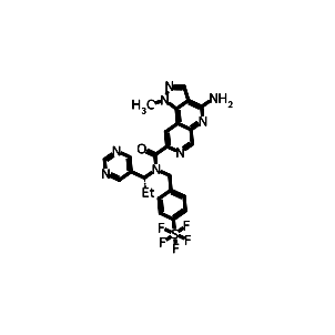 CC[C@H](c1cncnc1)N(Cc1ccc(S(F)(F)(F)(F)F)cc1)C(=O)c1cc2c(cn1)nc(N)c1cnn(C)c12